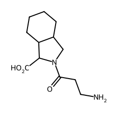 NCCC(=O)N1CC2CCCCC2C1C(=O)O